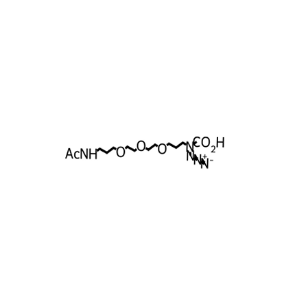 CC(=O)NCCCOCCOCCOCCCN(N=[N+]=[N-])C(=O)O